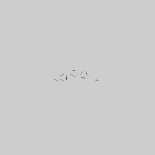 C=Cc1ccc(-c2ncn(-c3ccc(CCC(F)(F)F)cc3)n2)cc1